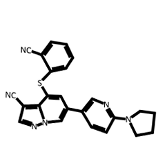 N#Cc1ccccc1Sc1cc(-c2ccc(N3CCCC3)nc2)cn2ncc(C#N)c12